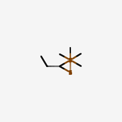 CCC1SS1(C)(C)(C)C